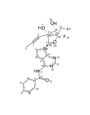 CC#C[C@]1(O)[C@H](n2ccc3c(NC(=O)c4ccccc4)ncnc32)O[C@](F)(CI)[C@H]1O